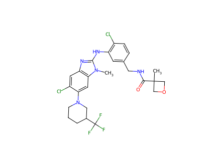 Cn1c(Nc2cc(CNC(=O)C3(C)COC3)ccc2Cl)nc2cc(Cl)c(N3CCCC(C(F)(F)F)C3)cc21